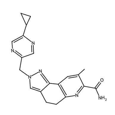 Cc1cc2c(nc1C(N)=O)CCc1cn(Cc3cnc(C4CC4)cn3)nc1-2